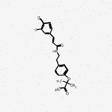 CC(C)(Oc1ccc(CCNC(=O)C=Cc2ccc(Cl)c(Cl)c2)cc1)C(=O)O